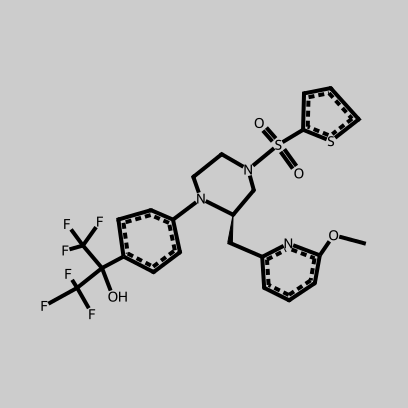 COc1cccc(C[C@@H]2CN(S(=O)(=O)c3cccs3)CCN2c2ccc(C(O)(C(F)(F)F)C(F)(F)F)cc2)n1